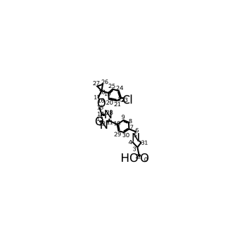 O=C(O)C1CN(Cc2ccc(-c3noc(COCC4(c5ccc(Cl)cc5)CC4)n3)cc2)C1